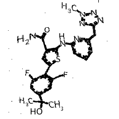 Cn1nnc(Cc2cccc(Nc3sc(-c4c(F)cc(C(C)(C)O)cc4F)cc3C(N)=O)n2)n1